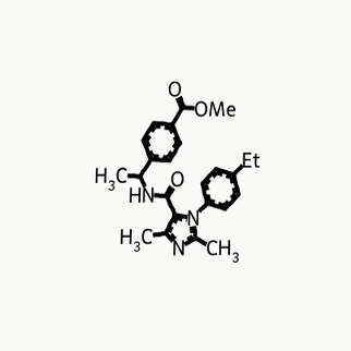 CCc1ccc(-n2c(C)nc(C)c2C(=O)NC(C)c2ccc(C(=O)OC)cc2)cc1